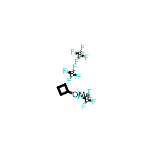 COC1CCC1.F[B-](F)(F)F.F[B-](F)(F)F.F[B-](F)(F)F